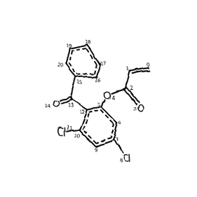 C=CC(=O)Oc1cc(Cl)cc(Cl)c1C(=O)c1ccccc1